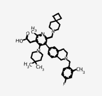 Cc1cc(F)ccc1CN1CCc2cc(-c3c(CN4CCC5(CCC5)CC4)nc(C)c(CC(=O)O)c3N3CCC(C)(C)CC3)ccc2C1